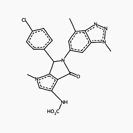 Cc1cc(N2C(=O)c3c(NC(=O)O)cn(C)c3C2c2ccc(Cl)cc2)cc2c1nnn2C